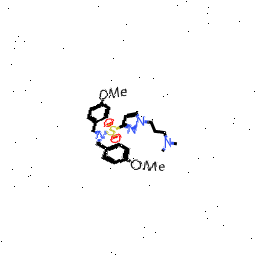 COc1ccc(CN(Cc2ccc(OC)cc2)S(=O)(=O)c2ccn(CCCN(C)C)n2)cc1